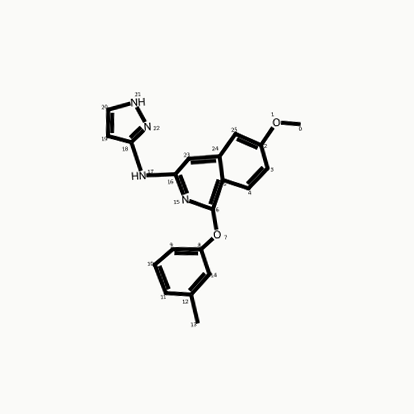 COc1ccc2c(Oc3cccc(C)c3)nc(Nc3cc[nH]n3)cc2c1